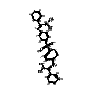 CCN(CC)C(=Nc1ccc(S(=O)(=O)c2ccc(N=C(c3cccnc3)N(CC)CC)cc2)cc1)c1cccnc1